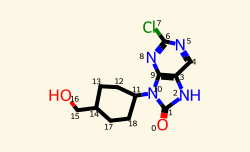 O=c1[nH]c2cnc(Cl)nc2n1C1CCC(CO)CC1